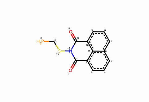 O=C1c2cccc3cccc(c23)C(=O)N1SCP